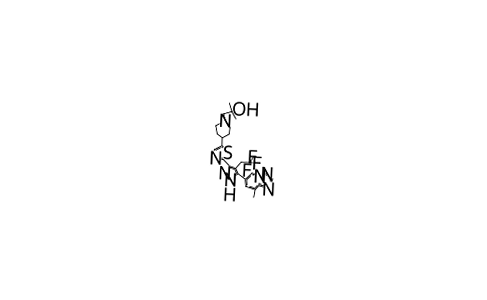 Cc1cc(-c2[nH]nc(-c3ncc(C4CCN(CC(C)(C)O)CC4)s3)c2CC(F)(F)F)cn2ncnc12